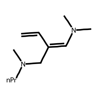 C=C/C(=C\N(C)C)CN(C)CCC